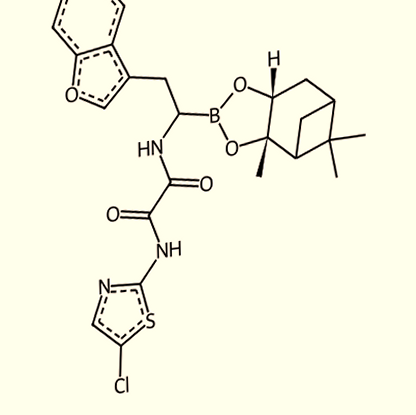 CC1(C)C2CC1[C@]1(C)OB(C(Cc3coc4ccccc34)NC(=O)C(=O)Nc3ncc(Cl)s3)O[C@@H]1C2